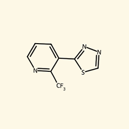 FC(F)(F)c1ncccc1-c1nncs1